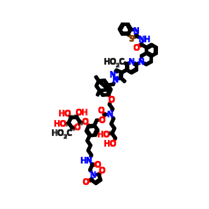 Cc1c(-c2ccc(N3CCc4cccc(C(=O)Nc5nc6ccccc6s5)c4C3)nc2C(=O)O)cnn1CC12CC3(C)CC(C)(C1)CC(OCCN(CCC[C@H](O)CO)C(=O)OCc1ccc(CCCCNC(=O)CN4C(=O)C=CC4=O)cc1O[C@@H]1O[C@H](C(=O)O)[C@@H](O)[C@H](O)[C@H]1O)(C3)C2